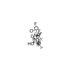 CC(C)(C)[C@@H](C(=O)N1C[C@H](O)C[C@H]1C(=O)NCC(c1ccc(F)cc1Cl)C(F)(F)F)n1cc(C2CC2)nn1